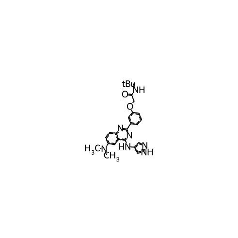 CN(C)c1ccc2nc(-c3cccc(OCC(=O)NC(C)(C)C)c3)nc(Nc3cn[nH]c3)c2c1